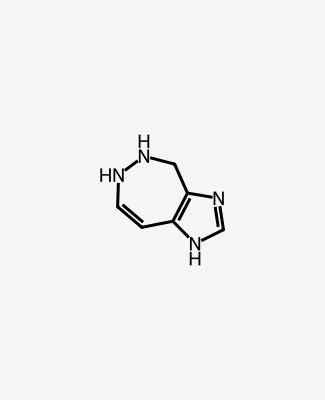 C1=Cc2[nH]cnc2CNN1